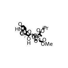 COC(=O)CSP(=O)(NC(C)C(=O)OC(C)C)OC[C@H]1O[C@@H](n2ccc(=O)[nH]c2=O)[C@](C)(Cl)[C@@H]1O